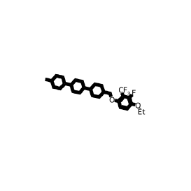 CCOc1ccc(OCC2CCC(C3CCC(C4CCC(C)CC4)CC3)CC2)c(C(F)(F)F)c1F